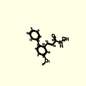 COc1ccc(-c2ccccc2)c(/C=C/C(=O)NO)c1